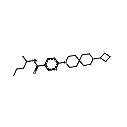 CCCC(C)NC(=O)c1ccc(N2CCC3(CC2)CCN(C2CCC2)CC3)nc1